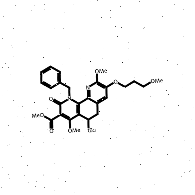 COCCCOc1cc2c(nc1OC)-c1c(c(OC)c(C(=O)OC)c(=O)n1Cc1ccccc1)C(C(C)(C)C)C2